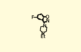 CCN1CCN(c2noc3ccc(F)cc23)CC1